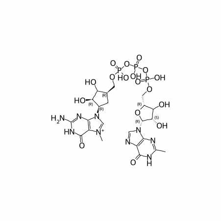 Cc1nc2c(ncn2[C@@H]2O[C@H](COP(=O)(O)OP(=O)(O)OP(=O)(O)OC[C@H]3C[C@@H](n4c[n+](C)c5c(=O)[nH]c(N)nc54)[C@@H](O)C3O)C(O)[C@@H]2O)c(=O)[nH]1